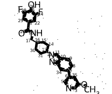 COc1cncc(-c2ccc3cn([C@H]4CC[C@H](CNC(=O)c5cc(F)c(O)c(F)c5)CC4)nc3c2)c1